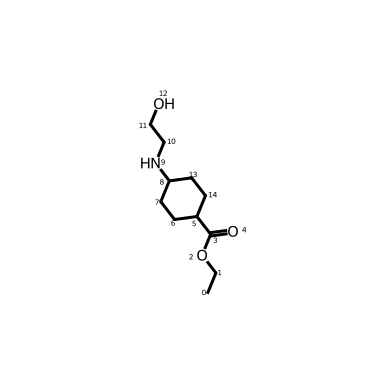 CCOC(=O)C1CCC(NCCO)CC1